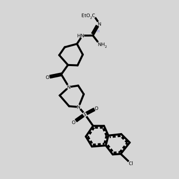 CCOC(=O)/N=C(/N)NC1CCC(C(=O)N2CCN(S(=O)(=O)c3ccc4cc(Cl)ccc4c3)CC2)CC1